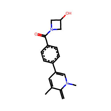 C=C1C(C)=CC(c2ccc(C(=O)N3CC(O)C3)cc2)=CN1C